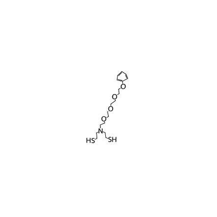 SCCN(CCS)CCOCCOCCOCCOc1ccccc1